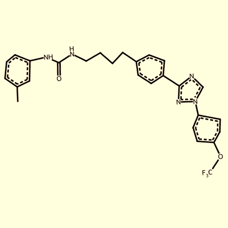 Cc1cccc(NC(=O)NCCCCc2ccc(-c3ncn(-c4ccc(OC(F)(F)F)cc4)n3)cc2)c1